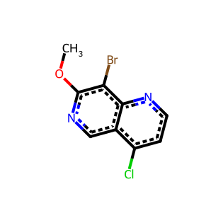 COc1ncc2c(Cl)ccnc2c1Br